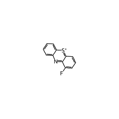 Fc1cccc2[s+]c3ccccc3nc12